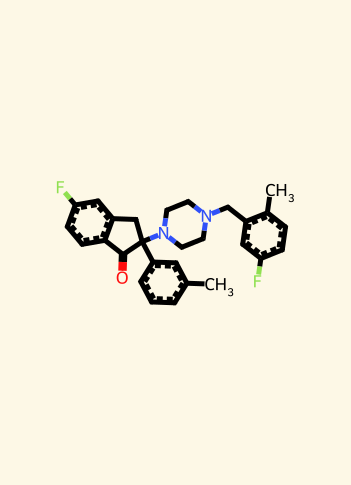 Cc1cccc(C2(N3CCN(Cc4cc(F)ccc4C)CC3)Cc3cc(F)ccc3C2=O)c1